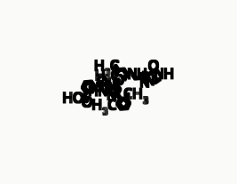 Cc1cccc(C)c1-c1cc(OCC(CC(C)C)NCc2cc3n(n2)CCNC3=O)nc(N[S+]([O-])c2cccc(C(=O)O)c2)n1